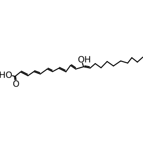 CCCCCCCCCC=C(O)C=CC=CC=CC=CC=CC(=O)O